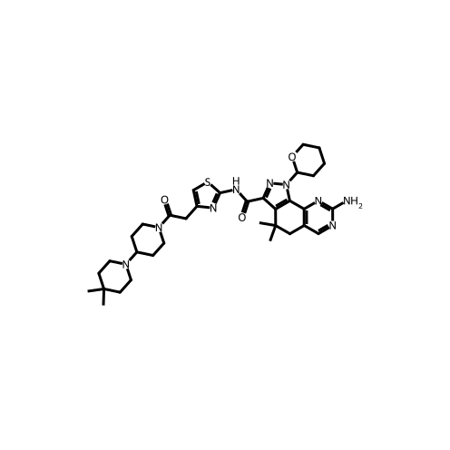 CC1(C)CCN(C2CCN(C(=O)Cc3csc(NC(=O)c4nn(C5CCCCO5)c5c4C(C)(C)Cc4cnc(N)nc4-5)n3)CC2)CC1